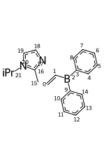 C=CB(c1ccccc1)c1ccccc1.Cc1nccn1C(C)C